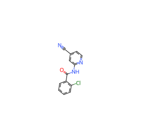 N#Cc1ccnc(NC(=O)c2ccccc2Cl)c1